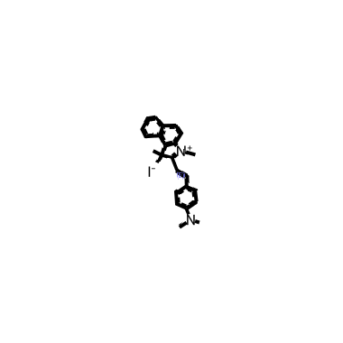 CN(C)c1ccc(/C=C/C2=[N+](C)c3ccc4ccccc4c3C2(C)C)cc1.[I-]